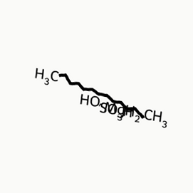 CCCCCCCCCCCCCC.O=S(=O)(O)O.[MgH2]